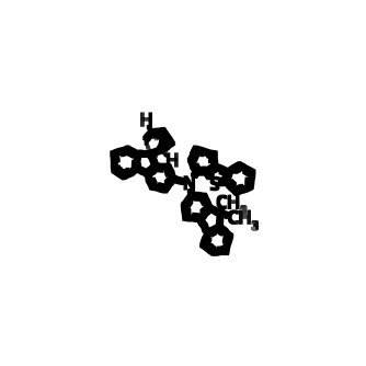 CC1(C)c2ccccc2-c2ccc(N(c3ccc4c(c3)[C@@]3(C[C@@H]5CC[C@@H]3C5)c3ccccc3-4)c3cccc4c3sc3ccccc34)cc21